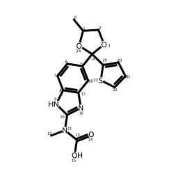 CC1COC(c2ccc3[nH]c(N(C)C(=O)O)nc3c2)(c2cccs2)O1